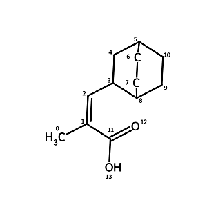 CC(=CC1CC2CCC1CC2)C(=O)O